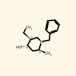 CC[C@H]1CN(Cc2ccccc2)[C@@H](C)C[C@@H]1O